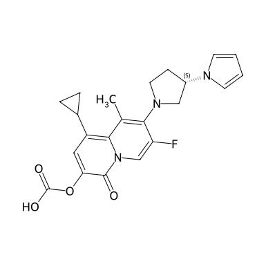 Cc1c(N2CC[C@H](n3cccc3)C2)c(F)cn2c(=O)c(OC(=O)O)cc(C3CC3)c12